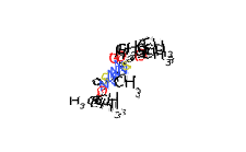 CCOC(=O)c1nc(N2CCc3c2nnc(/N=c2\sc4ccccc4n2COCC[Si](C)(C)C)c3C)sc1CCCO[Si](C)(C)C(C)(C)C